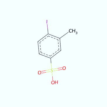 Cc1cc(S(=O)(=O)O)ccc1I